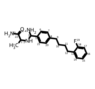 CC(NC(N)c1ccc(CCCCc2ccccc2F)cc1)C(N)=O